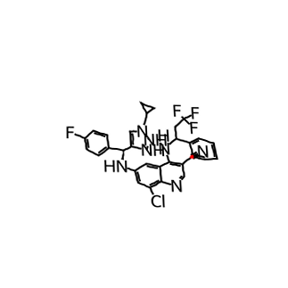 N#Cc1cnc2c(Cl)cc(N[C@H](C3=CN(C4CC4)NN3)c3ccc(F)cc3)cc2c1NC(CC(F)(F)F)c1ccccc1